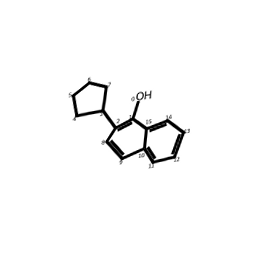 Oc1c(C2CCCC2)ccc2ccccc12